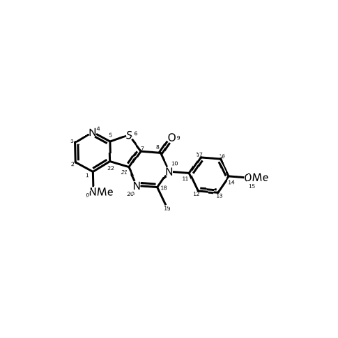 CNc1ccnc2sc3c(=O)n(-c4ccc(OC)cc4)c(C)nc3c12